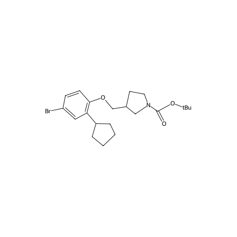 CC(C)(C)OC(=O)N1CCC(COc2ccc(Br)cc2C2CCCC2)C1